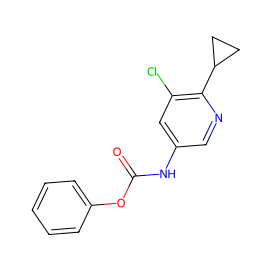 O=C(Nc1cnc(C2CC2)c(Cl)c1)Oc1ccccc1